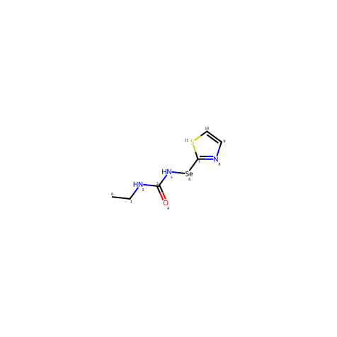 CCNC(=O)N[Se]c1nccs1